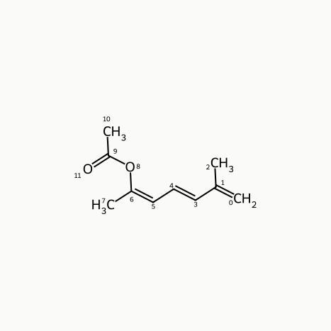 C=C(C)C=CC=C(C)OC(C)=O